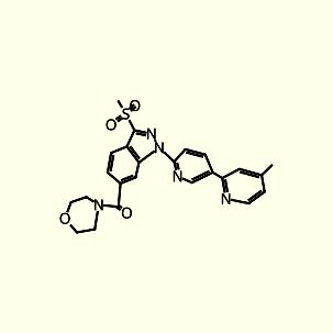 Cc1ccnc(-c2ccc(-n3nc(S(C)(=O)=O)c4ccc(C(=O)N5CCOCC5)cc43)nc2)c1